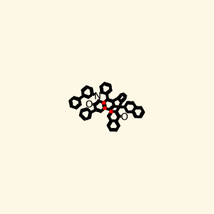 C1=CC2C(Oc3c(ccc4ccccc34)C23c2ccccc2-c2c(-c4ccccc4N(c4cccc(-c5ccccc5)c4)c4cccc5c4oc4ccccc45)cccc23)c2ccccc21